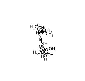 CC(=O)N[C@H]1[C@H](OCC(=O)NCCOCCOC[C@@H](CC(C)(C)C)OP(=O)(O)OC(C)C)O[C@H](CO)[C@H](O)[C@@H]1O